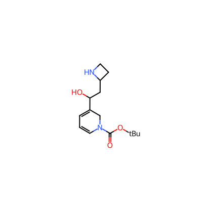 CC(C)(C)OC(=O)N1C=CC=C(C(O)CC2CCN2)C1